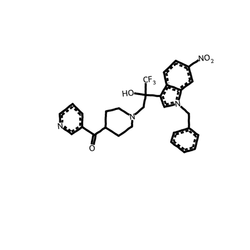 O=C(c1cccnc1)C1CCN(CC(O)(c2cn(Cc3ccccc3)c3cc([N+](=O)[O-])ccc23)C(F)(F)F)CC1